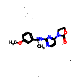 COc1cccc([C@@H](C)Nc2nccc(N3CCOC3=O)n2)c1